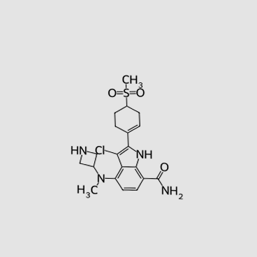 CN(c1ccc(C(N)=O)c2[nH]c(C3=CCC(S(C)(=O)=O)CC3)c(Cl)c12)C1CNC1